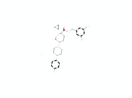 O=C(O)[C@@H]1CN([C@@H]2CC[C@@](C(=O)NCc3cc(F)cc(C(F)(F)F)c3)(C3CC3)OC2)CC[C@H]1c1ccc(F)cc1